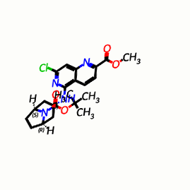 COC(=O)c1ccc2c(N[C@@H]3C[C@H]4CC[C@@H](C3)N4C(=O)OC(C)(C)C)nc(Cl)cc2n1